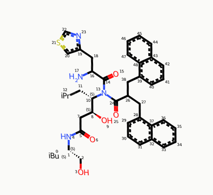 CC[C@H](C)[C@@H](CO)NC(=O)C[C@H](O)[C@H](CC(C)C)N(C(=O)C(N)Cc1cscn1)C(=O)C(Cc1cccc2ccccc12)Cc1cccc2ccccc12